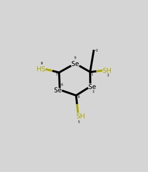 CC1(S)[Se]C(S)[Se]C(S)[Se]1